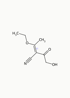 CCO/C(C)=C(\C#N)C(=O)CO